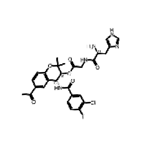 CC(=O)c1ccc2c(c1)[C@@H](NC(=O)c1ccc(F)c(Cl)c1)[C@H](OC(=O)CNC(=O)[C@@H](N)Cc1c[nH]cn1)C(C)(C)O2